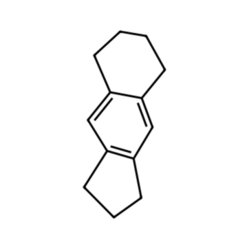 c1c2c(cc3c1CCC3)CCCC2